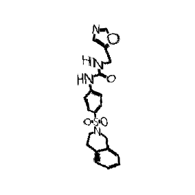 O=C(NCc1cnco1)Nc1ccc(S(=O)(=O)N2CCc3ccccc3C2)cc1